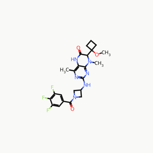 COC1(C2C(=O)Nc3c(C)nc(NC4CN(C(=O)c5cc(F)c(F)c(F)c5)C4)nc3N2C)CCC1